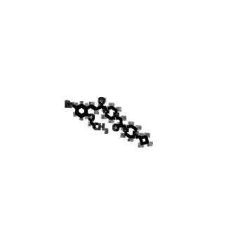 CCOc1ccc(Br)cc1C=CC(=O)N1CCN(CC(=O)N2CCN(C3CCC3)CC2)CC1